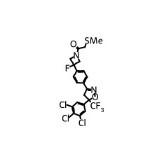 CSCC(=O)N1CC(F)(c2ccc(C3=NOC(c4cc(Cl)c(Cl)c(Cl)c4)(C(F)(F)F)C3)cc2)C1